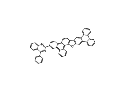 c1ccc(-c2nc(-c3ccc4c(c3)c3ccccc3c3c4ccc4c5cc6c7ccccc7c7ccccc7c6cc5oc43)nc3ccccc23)cc1